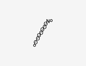 CN(CCOCCOCCOCCOCCOCCOCCCOCc1ccccc1)Cc1ccccc1